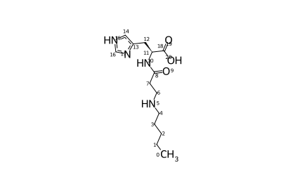 CCCCCNCCC(=O)N[C@@H](Cc1c[nH]cn1)C(=O)O